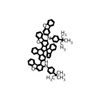 CC(C)(C)c1ccc(Nc2ccc3oc4ccccc4c3c2-c2ccc3c4c(c5ccccc5c3c2)-c2c(cc(N(c3ccc(C(C)(C)C)cc3)c3ccc5oc6ccccc6c5c3)c3c2oc2ccccc23)C42c3ccccc3-c3ccccc32)cc1